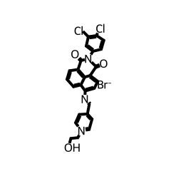 O=C1c2cccc3c(N=Cc4cc[n+](CCO)cc4)ccc(c23)C(=O)N1c1ccc(Cl)c(Cl)c1.[Br-]